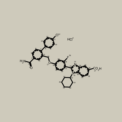 Cl.NC(=O)c1ccc(-c2ccc(Cl)cc2)c(COc2ccc(-c3nc4cc(C(=O)O)ccc4n3C3CCCCC3)c(F)c2)c1